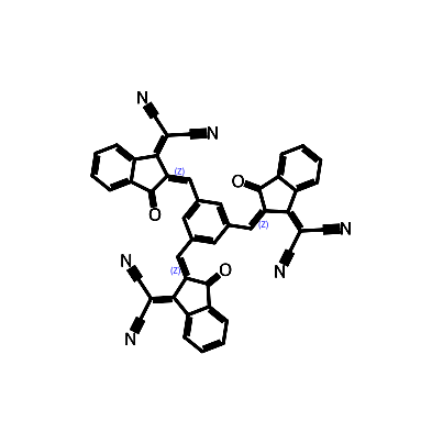 N#CC(C#N)=C1/C(=C/c2cc(/C=C3\C(=O)c4ccccc4C3=C(C#N)C#N)cc(/C=C3\C(=O)c4ccccc4C3=C(C#N)C#N)c2)C(=O)c2ccccc21